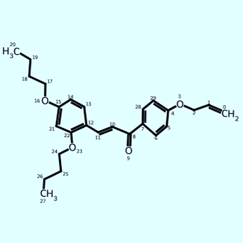 C=CCOc1ccc(C(=O)C=Cc2ccc(OCCCC)cc2OCCCC)cc1